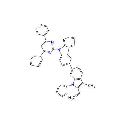 C=Cc1c(C)c2ccc(-c3ccc4c(c3)c3ccccc3n4-c3nc(-c4ccccc4)cc(-c4ccccc4)n3)cc2n1-c1ccccc1